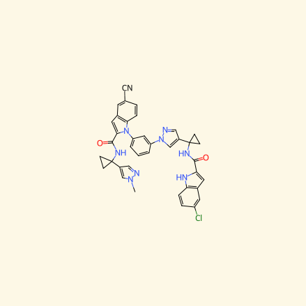 Cn1cc(C2(NC(=O)c3cc4cc(C#N)ccc4n3-c3cccc(-n4cc(C5(NC(=O)c6cc7cc(Cl)ccc7[nH]6)CC5)cn4)c3)CC2)cn1